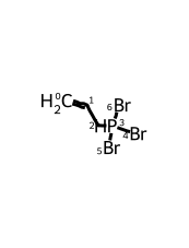 C=CC[PH](Br)(Br)Br